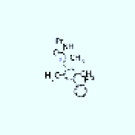 C/C(=C\c1cc(C)c(-c2ccccc2F)cc1C)C(=O)NC(C)C